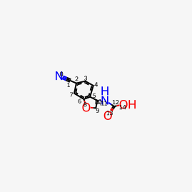 N#Cc1ccc2c(c1)OC[C@H]2NC(=O)O